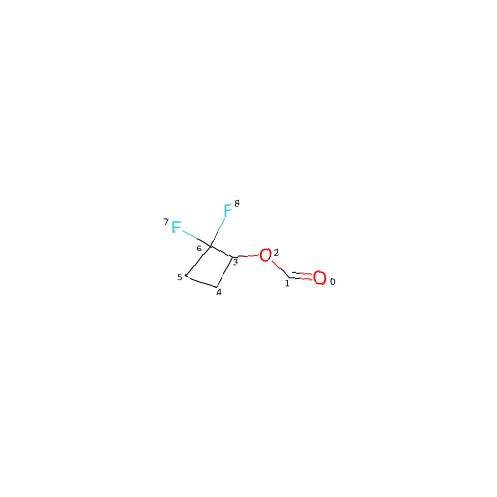 O=COC1CCC1(F)F